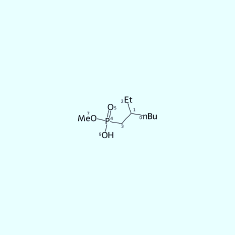 CCCCC(CC)CP(=O)(O)OC